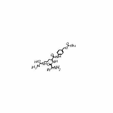 CC(C)[C@H](N)C(=O)N[C@@H](CCCNC(N)O)C(=O)Nc1ccc(COC(=O)C(C)(C)C)cc1